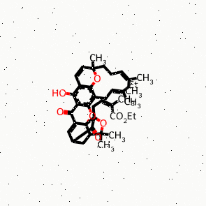 CCOC(=O)/C(C)=C\CC12OC(C)(C)C3CC(C=C4C(=O)c5c(O)c6c(c(C/C=C(\C)CC)c5OC431)OC(C)(CCC=C(C)C)C=C6)C2=O